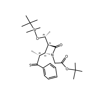 C[C@@H](O[Si](C)(C)C(C)(C)C)[C@H]1C(=O)N(CC(=O)OC(C)(C)C)[C@@H]1[C@@H](C)C(=S)c1ccccc1